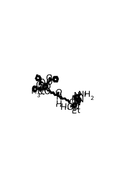 CC[C@H]1O[C@@H](n2cnc3c(N)ncnc32)[C@@H](OCCCCCCNC(=O)CCCCO[C@@H]2O[C@H](COC(=O)c3ccccc3)[C@H](OC(=O)c3ccccc3)[C@H](OC(=O)c3ccccc3)[C@H]2C)C1O